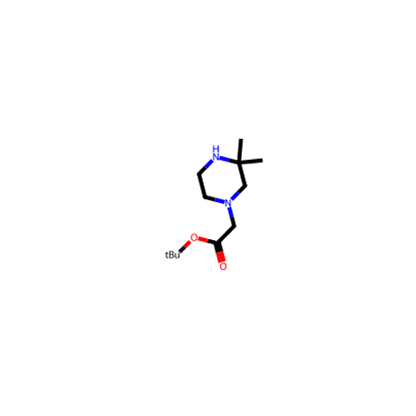 CC1(C)CN(CC(=O)OC(C)(C)C)CCN1